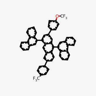 FC(F)(F)Oc1ccc(-c2cc(-c3cc4ccccc4c4ccccc34)c3cc4cc(-c5ccc(C(F)(F)F)cc5)ccc4c(-c4cc5ccccc5c5ccccc45)c3c2)cc1